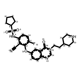 N#Cc1c(NS(=O)(=O)C2CCCC2)ccc(F)c1Oc1ccc2ncn(CCC3CCNCC3)c(=O)c2c1